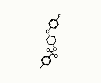 Cc1ccc(S(=O)(=O)O[C@H]2CC[C@@H](Oc3ccc(F)cc3)CC2)cc1